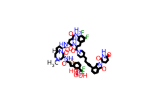 CN1CC[C@H]2CC[C@@H](C(=O)NC(CCC(N)=O)C(=O)NC(Cc3ccc(F)c(F)c3)C(=O)N3CCC(CCC#Cc4cccc5c4CN(C4CCC(=O)NC4=O)C5=O)CC3)N2C(=O)[C@@H](NC(=O)c2cc3cc(C(F)(F)P(=O)(O)O)ccc3s2)C1